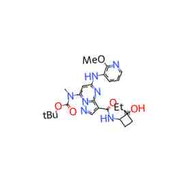 CC[C@@]1(O)CCC1NC(=O)c1cnn2c(N(C)C(=O)OC(C)(C)C)cc(Nc3cccnc3OC)nc12